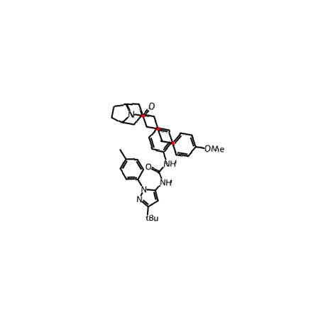 COc1ccc(CCCC(=O)N2C3CCC2CC(Cc2ccc(NC(=O)Nc4cc(C(C)(C)C)nn4-c4ccc(C)cc4)cc2)C3)cc1